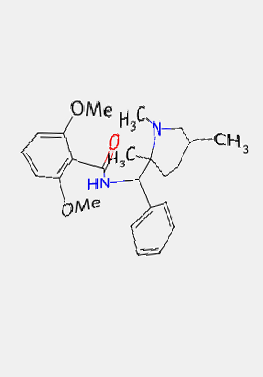 COc1cccc(OC)c1C(=O)NC(c1ccccc1)C1(C)CCC(C)CN1C